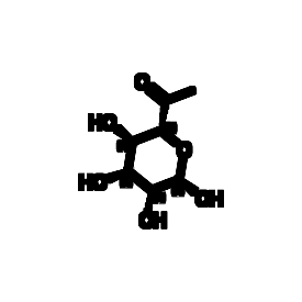 CC(=O)[C@@H]1O[C@@H](O)[C@H](O)[C@@H](O)[C@H]1O